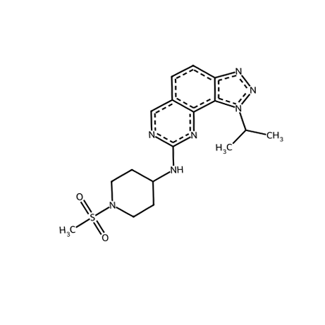 CC(C)n1nnc2ccc3cnc(NC4CCN(S(C)(=O)=O)CC4)nc3c21